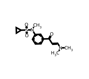 CN(C)C=CC(=O)c1cccc(N(C)S(=O)(=O)C2CC2)c1